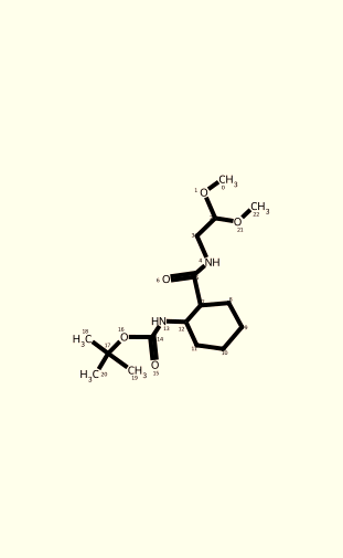 COC(CNC(=O)C1CCCCC1NC(=O)OC(C)(C)C)OC